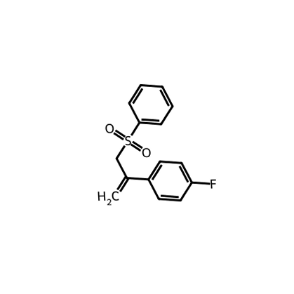 C=C(CS(=O)(=O)c1ccccc1)c1ccc(F)cc1